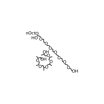 CC(O)COC(C)COC(C)COC(C)COC(C)COC(C)CO.CCCCCCCCOC(O)COCCOCCOCCOCCOCCOCCOCCO